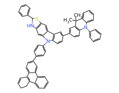 CC1(C)c2ccccc2N(c2ccccc2)c2ccc(-c3ccc4c(c3)c3cc5c(cc3n4-c3ccc(-c4ccc6c7c(c8ccccc8c6c4)CCC=C7)cc3)NC(c3ccccc3)S5)cc21